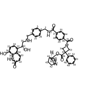 O=C(NCc1ccc(CNC[C@H](O)c2ccc(O)c3[nH]c(=O)ccc23)cc1)c1ccc(C(=O)N2CC(C(=O)O[C@H]3CN4CCC3CC4)(c3ccccc3)C2)cc1